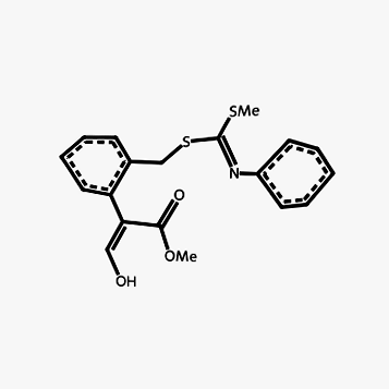 COC(=O)C(=CO)c1ccccc1CSC(=Nc1ccccc1)SC